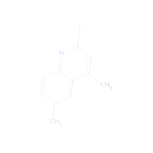 Cc1ccc2nc(I)cc(C)c2c1